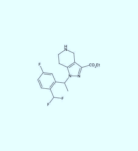 CCOC(=O)c1nn(C(C)c2cc(F)ccc2C(F)F)c2c1CNCC2